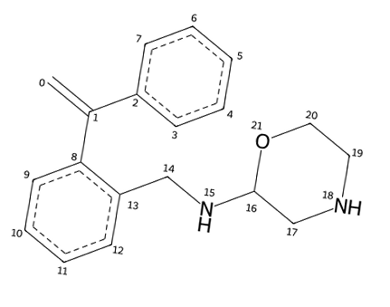 C=C(c1ccccc1)c1ccccc1CNC1CNCCO1